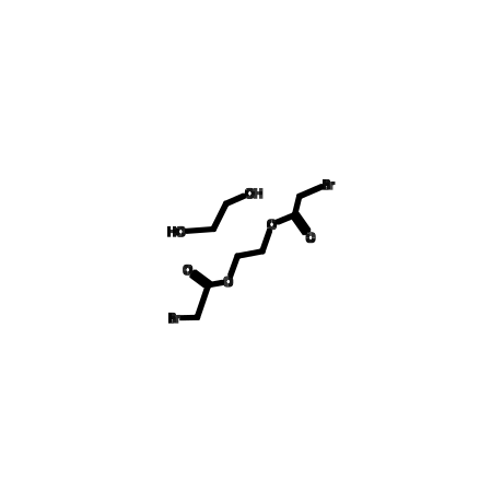 O=C(CBr)OCCOC(=O)CBr.OCCO